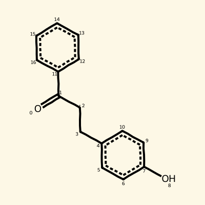 O=C([CH]Cc1ccc(O)cc1)c1ccccc1